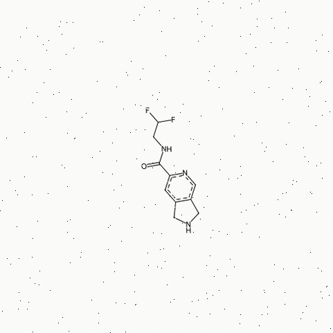 O=C(NCC(F)F)c1cc2c(cn1)CNC2